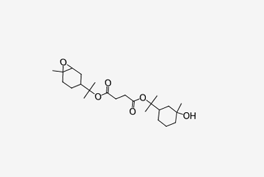 CC1(O)CCCC(C(C)(C)OC(=O)CCC(=O)OC(C)(C)C2CCC3(C)OC3C2)C1